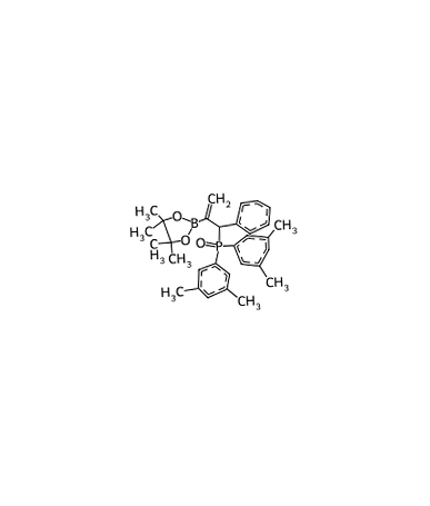 C=C(B1OC(C)(C)C(C)(C)O1)C(c1ccccc1)P(=O)(c1cc(C)cc(C)c1)c1cc(C)cc(C)c1